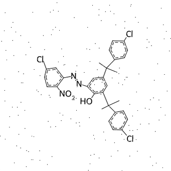 CC(C)(c1ccc(Cl)cc1)c1cc(N=Nc2cc(Cl)ccc2[N+](=O)[O-])c(O)c(C(C)(C)c2ccc(Cl)cc2)c1